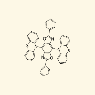 c1ccc(-c2nc3c(N4c5ccccc5Sc5ccccc54)c4oc(-c5ccccc5)nc4c(N4c5ccccc5Sc5ccccc54)c3o2)cc1